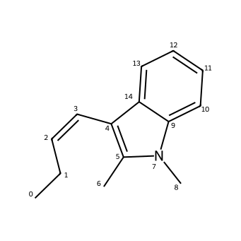 CC/C=C\c1c(C)n(C)c2ccccc12